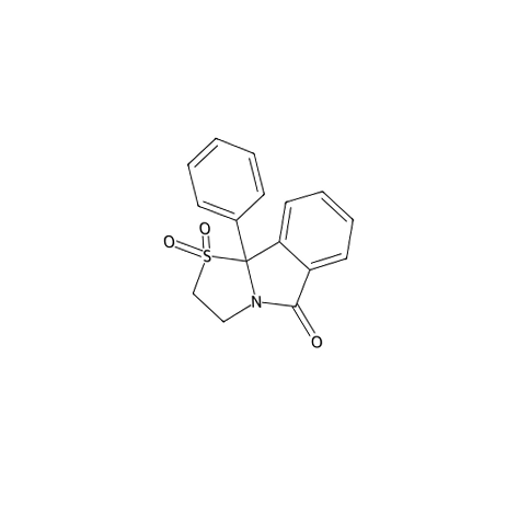 O=C1c2ccccc2C2(c3ccccc3)N1CCS2(=O)=O